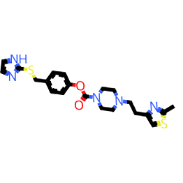 Cc1nc(CCN2CCN(C(=O)Oc3ccc(CSc4ncc[nH]4)cc3)CC2)cs1